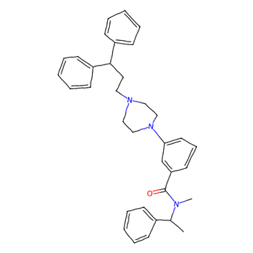 CC(c1ccccc1)N(C)C(=O)c1cccc(N2CCN(CCC(c3ccccc3)c3ccccc3)CC2)c1